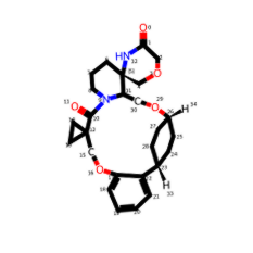 O=C1COC[C@@]2(CCCN3C(=O)C4(CC4)COc4ccccc4[C@H]4CC[C@H](CC4)OCC32)N1